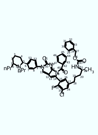 CCCC1CCC[C@@H](c2ccc(-n3cc4cc(-c5cc(CCC[C@H](C)NC(=O)OCc6ccccc6)cc(Cl)c5F)n(C(=O)c5ccccc5)c4nc3=O)cc2)N1CCC